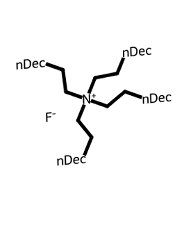 CCCCCCCCCCCC[N+](CCCCCCCCCCCC)(CCCCCCCCCCCC)CCCCCCCCCCCC.[F-]